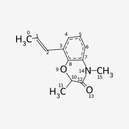 C/C=C/c1cccc2c1OC(C)C(=O)N2C